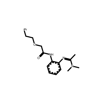 CC(=Nc1ccccc1NC(=O)COCCC(C)C)N(C)C